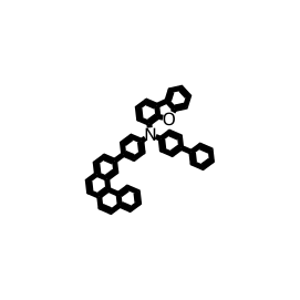 c1ccc(-c2ccc(N(c3ccc(-c4ccc5ccc6ccc7ccccc7c6c5c4)cc3)c3cccc4c3oc3ccccc34)cc2)cc1